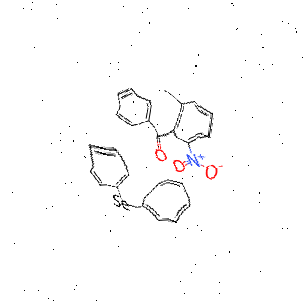 Cc1cccc([N+](=O)[O-])c1C(=O)c1ccccc1.c1ccc([Se]c2ccccc2)cc1